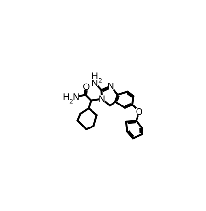 NC(=O)C(C1CCCCC1)N1Cc2cc(Oc3ccccc3)ccc2N=C1N